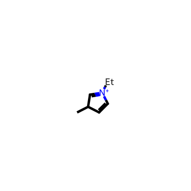 CC[N+]1=CC(C)C=C1